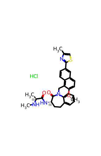 CN[C@@H](C)C(=O)N[C@H]1CCc2ccccc2N(Cc2c(OC)ccc3cc(-c4nc(C)cs4)ccc23)C1=O.Cl